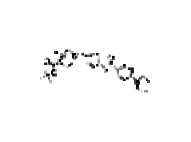 C[C@H]1CN(Cc2ccc(N(C)C(=O)c3ccc(N4CCCCC4)nc3)cc2)CCN1C(=O)OC(C)(C)C